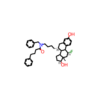 C[C@]12C[C@H](F)C3c4ccc(O)cc4C[C@@H](CCCCN(Cc4ccccc4)C(=O)CCCc4ccccc4)C3C1CC[C@@H]2O